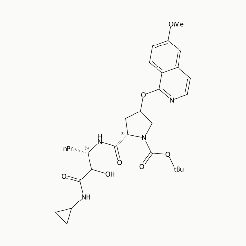 CCC[C@H](NC(=O)[C@@H]1CC(Oc2nccc3cc(OC)ccc23)CN1C(=O)OC(C)(C)C)C(O)C(=O)NC1CC1